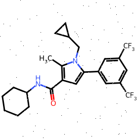 Cc1c(C(=O)NC2CCCCC2)cc(-c2cc(C(F)(F)F)cc(C(F)(F)F)c2)n1CC1CC1